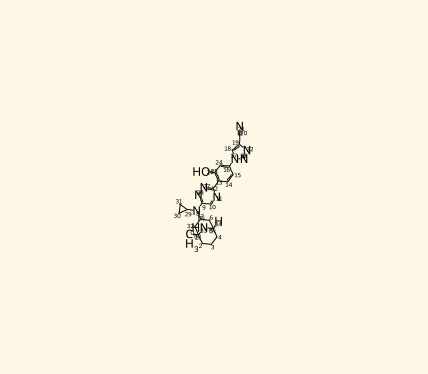 C[C@@]12CCC[C@@H](C[C@H](N(c3cnc(-c4ccc(-n5cc(C#N)nn5)cc4O)nn3)C3CC3)C1)N2